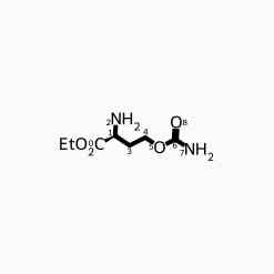 CCOC(=O)[C@@H](N)CCOC(N)=O